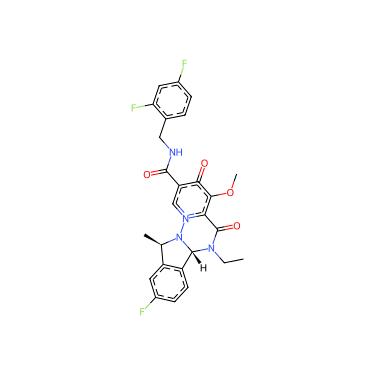 CCN1C(=O)c2c(OC)c(=O)c(C(=O)NCc3ccc(F)cc3F)cn2N2[C@H](C)c3cc(F)ccc3[C@@H]12